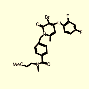 COCCN(C)C(=O)c1ccc(Cn2c(C)cc(Oc3ccc(F)cc3F)c(Br)c2=O)cc1